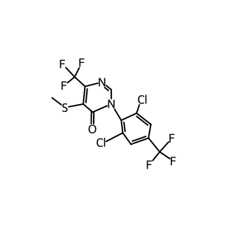 CSc1c(C(F)(F)F)ncn(-c2c(Cl)cc(C(F)(F)F)cc2Cl)c1=O